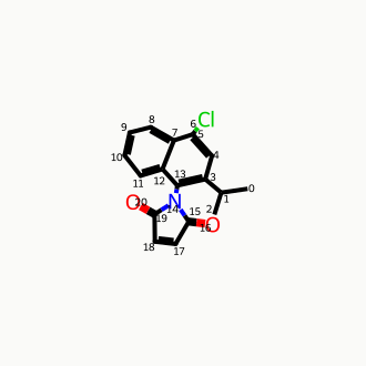 CC(C)c1cc(Cl)c2ccccc2c1N1C(=O)C=CC1=O